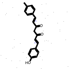 Cc1ccc(/C=C/C(=O)CC(=O)/C=C/c2ccc(O)cc2)cc1